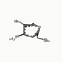 CC(C)(C)c1cc(N)c(C(C)(C)C)cn1